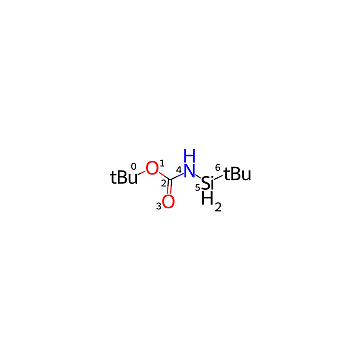 CC(C)(C)OC(=O)N[SiH2]C(C)(C)C